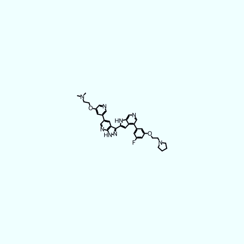 CN(C)CCOc1cncc(-c2cnc3[nH]nc(-c4cc5c(-c6cc(F)cc(OCCN7CCCC7)c6)cncc5[nH]4)c3c2)c1